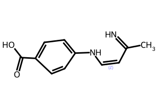 CC(=N)/C=C\Nc1ccc(C(=O)O)cc1